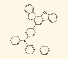 C1=CC(N(c2ccc(-c3cc4c5ccccc5oc4c4c3sc3ccccc34)cc2)c2cccc(-c3ccccc3)c2)=CCC1